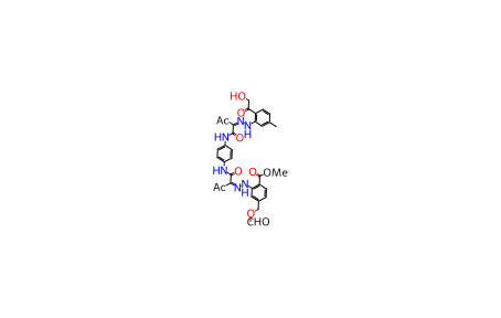 COC(=O)c1ccc(COC=O)cc1N/N=C(/C(C)=O)C(=O)Nc1ccc(NC(=O)/C(=N\Nc2cc(C)ccc2C(=O)CO)C(C)=O)cc1